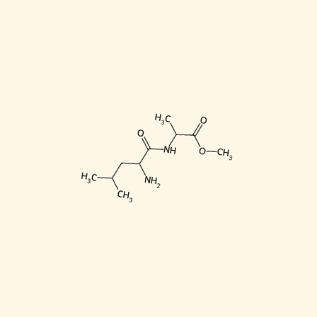 COC(=O)C(C)NC(=O)C(N)CC(C)C